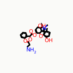 Cc1ccc(O)c2c1C13CCN(C)[C@H](C)[C@]1(O)CC=C(OC(=O)[C@H](OC(=O)CCN)c1ccccc1)C3O2